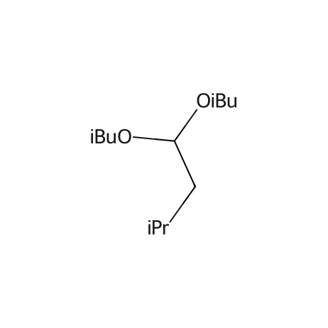 CC(C)COC(CC(C)C)OCC(C)C